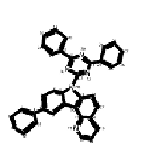 c1ccc(-c2ccc3c(c2)c2c4ncccc4ccc2n3-c2nc(-c3ccccc3)nc(-c3ccccc3)n2)cc1